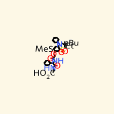 CCCCC1(CC)CN(c2ccccc2)c2cc(SC)c(OCC(=O)NC(C(=O)NCC(=O)O)c3ccccc3)cc2S(=O)(=O)C1